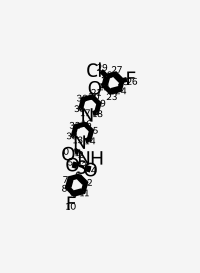 O=C(NS(=O)(=O)c1ccc(F)cc1)N1CCC(N2CCC(Oc3ccc(F)cc3Cl)CC2)CC1